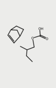 C1=CC2CCC1C2.CCC(C)COC(=O)O